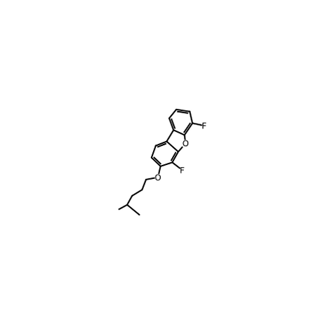 CC(C)CCCOc1ccc2c(oc3c(F)cccc32)c1F